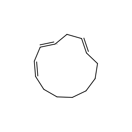 [C]1=C/C=C\CCCCCC/C=C/C/1